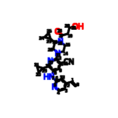 C=Cc1ccnc(Nc2cc(C#N)c(N3CCN(C(=O)CCO)C(C4CC4)C3)nc2C2CC2)c1